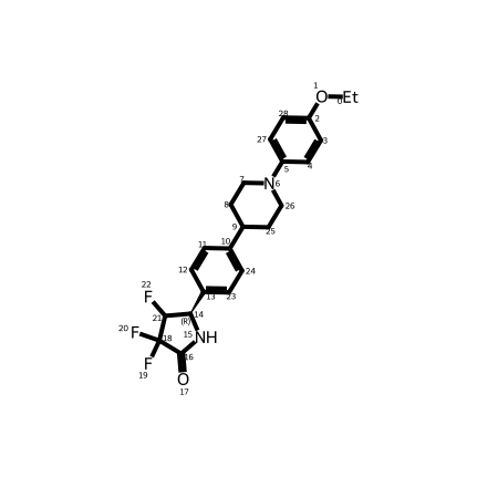 CCOc1ccc(N2CCC(c3ccc([C@H]4NC(=O)C(F)(F)C4F)cc3)CC2)cc1